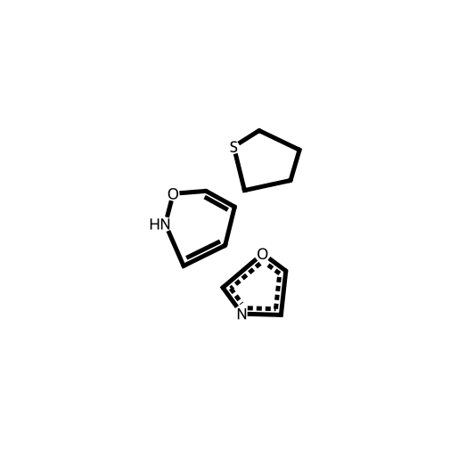 C1=CNOC=C1.C1CCSC1.c1cocn1